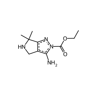 CCOC(=O)n1nc2c(c1N)CNC2(C)C